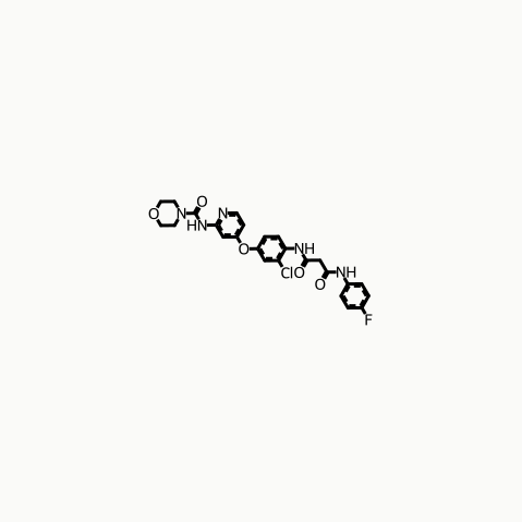 O=C(CC(=O)Nc1ccc(Oc2ccnc(NC(=O)N3CCOCC3)c2)cc1Cl)Nc1ccc(F)cc1